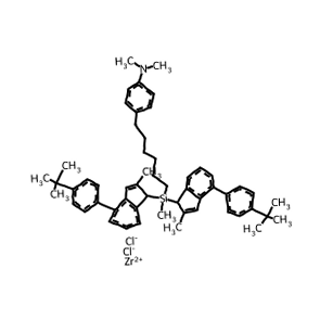 CC1=Cc2c(-c3ccc(C(C)(C)C)cc3)cccc2C1[Si](C)(CCCCCCc1ccc(N(C)C)cc1)C1C(C)=Cc2c(-c3ccc(C(C)(C)C)cc3)cccc21.[Cl-].[Cl-].[Zr+2]